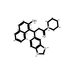 O=C(CC(c1ccc2c(c1)OCO2)c1c(O)ccc2ccccc12)N1CCCCC1